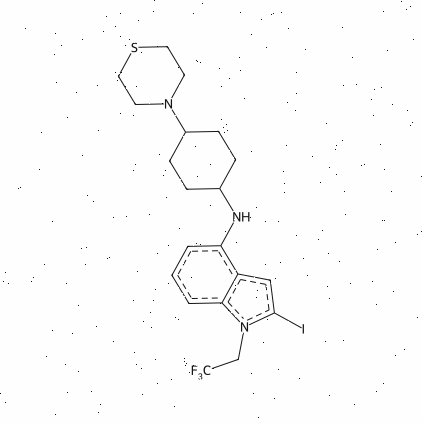 FC(F)(F)Cn1c(I)cc2c(NC3CCC(N4CCSCC4)CC3)cccc21